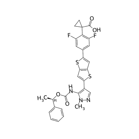 C[C@@H](OC(=O)Nc1c(-c2cc3sc(-c4cc(F)c(C5(C(=O)O)CC5)c(F)c4)cc3s2)cnn1C)c1ccccc1